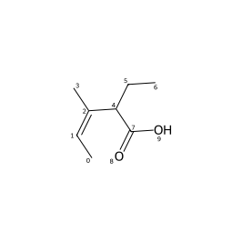 CC=C(C)C(CC)C(=O)O